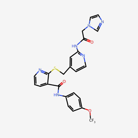 O=C(Cn1ccnc1)Nc1cc(CSc2ncccc2C(=O)Nc2ccc(OC(F)(F)F)cc2)ccn1